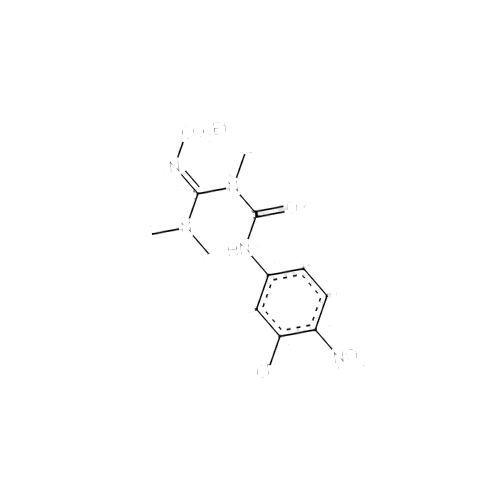 CCOC(=O)/N=C(/N(C)C)N(C)C(=O)Nc1ccc([N+](=O)[O-])c(Cl)c1